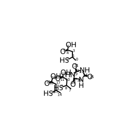 CC(S)CC(=O)O.CC(S)CC(=O)O.CC(S)CC(=O)O.O=c1[nH]c(=O)[nH]c(=O)[nH]1